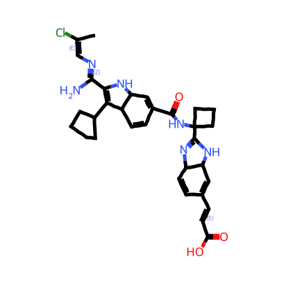 C/C(Cl)=C\N=C(/N)C1=C(C2CCCC2)C2C=CC(C(=O)NC3(C4=NC5C=CC(/C=C/C(=O)O)=CC5N4)CCC3)=CC2N1